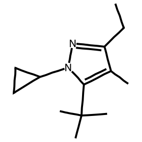 CCc1nn(C2CC2)c(C(C)(C)C)c1C